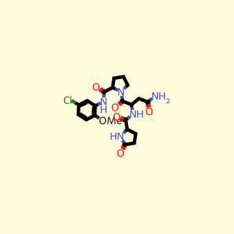 COc1ccc(Cl)cc1NC(=O)C1CCCN1C(=O)C(CC(N)=O)NC(=O)C1CCC(=O)N1